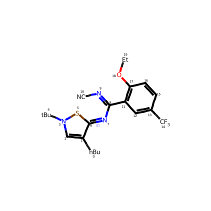 CCCCc1cn(C(C)(C)C)s/c1=N\C(=NC#N)c1cc(C(F)(F)F)ccc1OCC